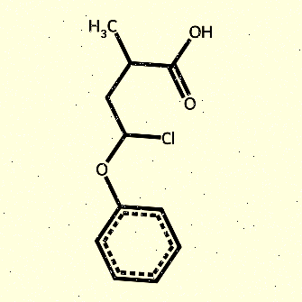 CC(CC(Cl)Oc1ccccc1)C(=O)O